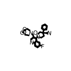 N#CC1(c2ccccc2)CCN(c2c(C(=O)N3CCS(=O)(=O)CC3)cnc3ccc(F)cc23)CC1